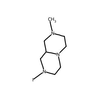 CN1CCN2CCN(I)CC2C1